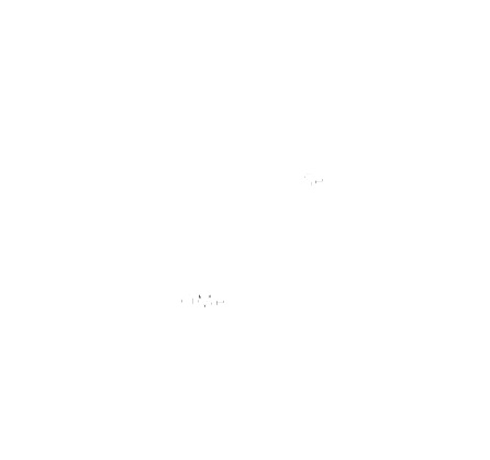 COc1cccc2[se]ccc12